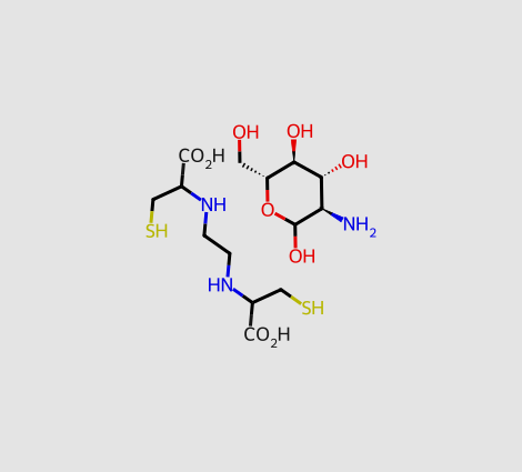 N[C@H]1C(O)O[C@H](CO)[C@@H](O)[C@@H]1O.O=C(O)C(CS)NCCNC(CS)C(=O)O